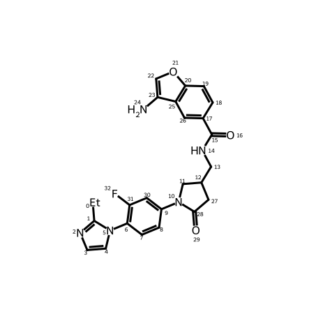 CCc1nccn1-c1ccc(N2CC(CNC(=O)c3ccc4occ(N)c4c3)CC2=O)cc1F